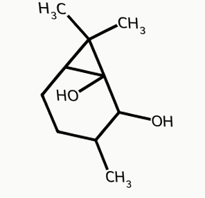 CC1CCC2C(C)(C)C2(O)C1O